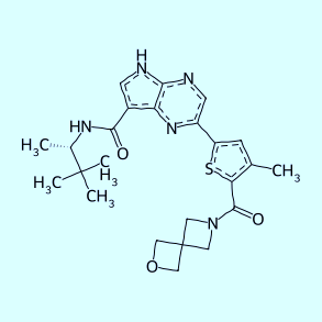 Cc1cc(-c2cnc3[nH]cc(C(=O)N[C@@H](C)C(C)(C)C)c3n2)sc1C(=O)N1CC2(COC2)C1